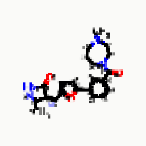 CC1=NNC(=O)/C1=C\c1ccc(-c2cccc(C(=O)N3CCCN(C)CC3)c2)o1